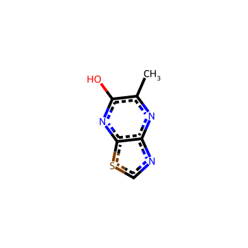 Cc1nc2ncsc2nc1O